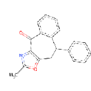 Cc1nc2c(o1)CC(c1ccccc1)c1ccccc1C2=O